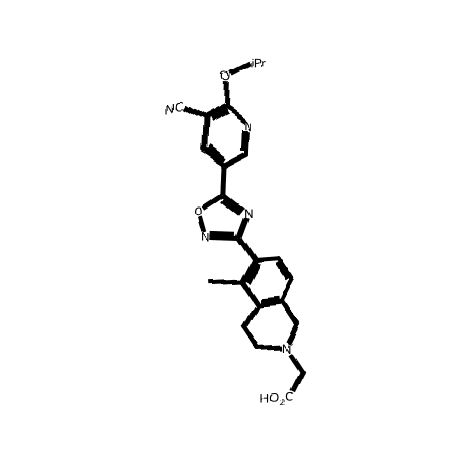 Cc1c(-c2noc(-c3cnc(OC(C)C)c(C#N)c3)n2)ccc2c1CCN(CC(=O)O)C2